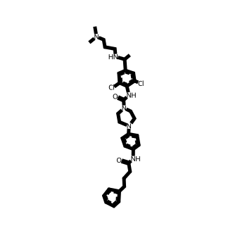 CC(NCCCN(C)C)c1cc(Cl)c(NC(=O)N2CCN(c3ccc(NC(=O)CCCc4ccccc4)cc3)CC2)c(Cl)c1